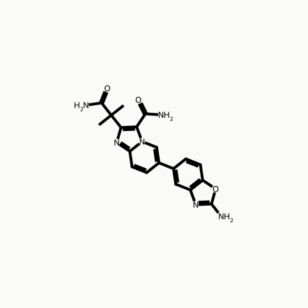 CC(C)(C(N)=O)c1nc2ccc(-c3ccc4oc(N)nc4c3)cn2c1C(N)=O